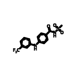 CS(=O)(=O)NC(=O)c1ccc(Nc2cccc(C(F)(F)F)c2)cc1